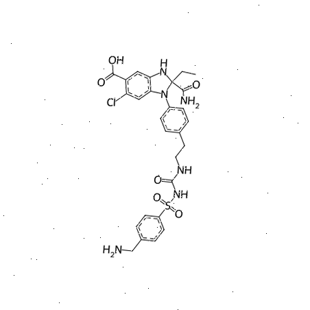 CCC1(C(N)=O)Nc2cc(C(=O)O)c(Cl)cc2N1c1ccc(CCNC(=O)NS(=O)(=O)c2ccc(CN)cc2)cc1